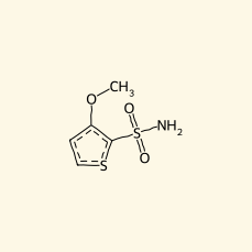 COc1ccsc1S(N)(=O)=O